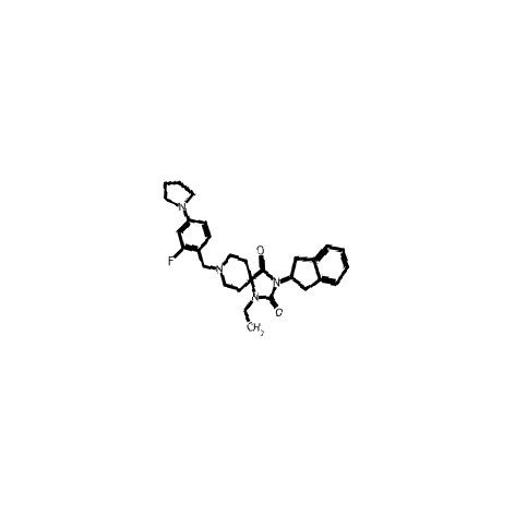 CCN1C(=O)N(C2Cc3ccccc3C2)C(=O)C12CCN(Cc1ccc(N3CCCC3)cc1F)CC2